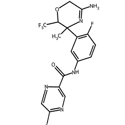 COc1cnc(C(=O)Nc2ccc(F)c(C3(C)N=C(N)COC3C(F)(F)F)c2)cn1